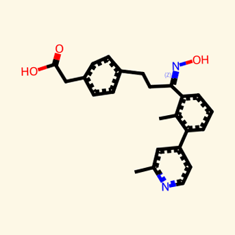 Cc1cc(-c2cccc(/C(CCc3ccc(CC(=O)O)cc3)=N\O)c2C)ccn1